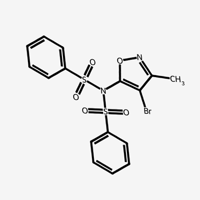 Cc1noc(N(S(=O)(=O)c2ccccc2)S(=O)(=O)c2ccccc2)c1Br